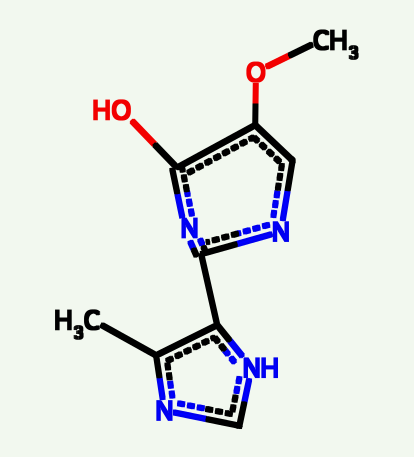 COc1cnc(-c2[nH]cnc2C)nc1O